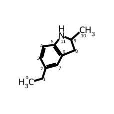 CCc1ccc2c(c1)CC(C)N2